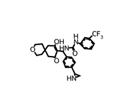 O=C(Nc1cccc(C(F)(F)F)c1)NC(C1=C(O)CC2(CCOCC2)CC1=O)c1ccc(C2CN2)cc1